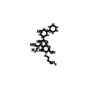 CC(C)C(=O)[C@H](CCCN)NC(=O)[C@@H](NC(=O)C1CNCC(C2CCCCC2)C1)[C@H](C)O